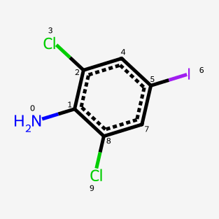 Nc1c(Cl)cc(I)cc1Cl